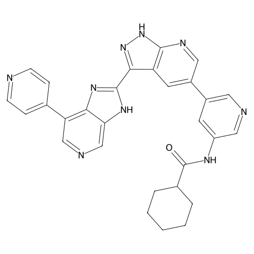 O=C(Nc1cncc(-c2cnc3[nH]nc(-c4nc5c(-c6ccncc6)cncc5[nH]4)c3c2)c1)C1CCCCC1